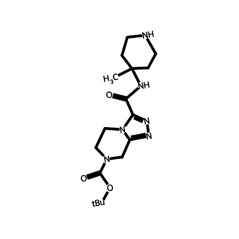 CC1(NC(=O)c2nnc3n2CCN(C(=O)OC(C)(C)C)C3)CCNCC1